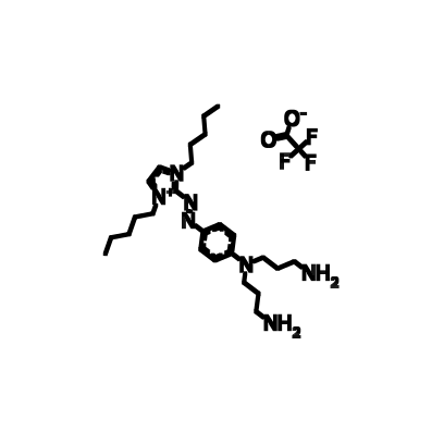 CCCCCn1cc[n+](CCCCC)c1N=Nc1ccc(N(CCCN)CCCN)cc1.O=C([O-])C(F)(F)F